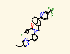 CCc1cnc(-c2cccc(N(CC3CCC4(c5ccc(C(F)(F)F)cn5)CCCC3C4)C(=O)C34CC(F)(C3)C4)c2)nc1